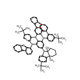 CC(C)(C)c1ccc2c(c1)B1c3cc4c(cc3N(c3ccc(C(C)(C)C)cc3-c3ccccc3)c3cc(N5c6ccc(C(C)(C)C)cc6C6(C)CCCCC56C)cc(c31)N2c1cccc2c1sc1ccccc12)sc1ccccc14